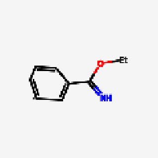 CCOC(=N)c1c[c]ccc1